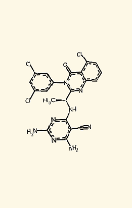 C[C@H](Nc1nc(N)nc(N)c1C#N)c1nc2cccc(Cl)c2c(=O)n1-c1cc(Cl)cc(Cl)c1